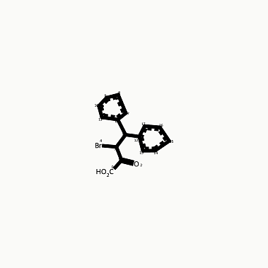 O=C(O)C(=O)C(Br)C(c1ccccc1)c1ccccc1